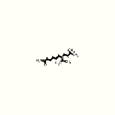 CC(C)CCN(CCCCCC(N)=O)C(C)C